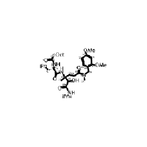 CCCCCCCCC(=O)N[C@@H](CC(C)C)C(=O)NC(C)(CCC(=O)N(C)Cc1ccc(OC)cc1OC)C(O)C(=O)NC(C)C